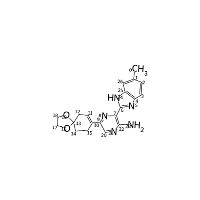 Cc1ccc2nc(-c3nc(C4=CCC5(CC4)OCCO5)cnc3N)[nH]c2c1